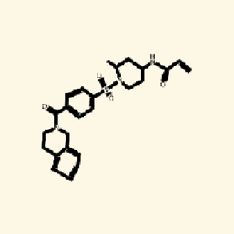 C=CC(=O)NC1CCN(S(=O)(=O)c2ccc(C(=O)N3CCc4ccccc4C3)cc2)C(C)C1